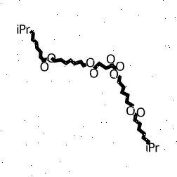 CC(C)CCCCCCC(=O)OCCCCCCCOC(=O)CCC(=O)C(=O)OCCCCCCCOC(=O)CCCCCCC(C)C